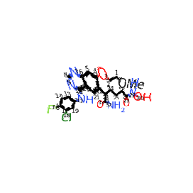 COCCOc1cc2ncnc(Nc3ccc(F)c(Cl)c3)c2cc1C(CCCC(=O)NO)C(N)=O